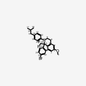 COc1ccc2c(c1)CCN(c1ccc(CC(C)C)cc1)C2(c1ccc(Br)cc1)C(F)F